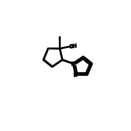 CC1(O)CCCC1n1cccn1